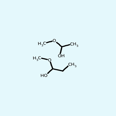 CCC(O)OC.COC(C)O